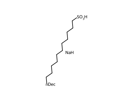 CCCCCCCCCCCCCCCCCCCCCS(=O)(=O)O.[NaH]